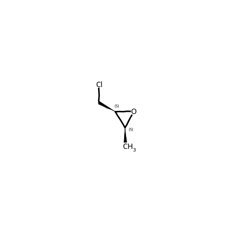 C[C@@H]1O[C@@H]1CCl